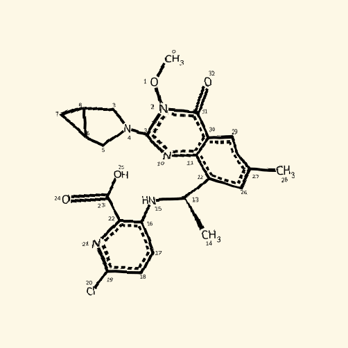 COn1c(N2CC3CC3C2)nc2c([C@@H](C)Nc3ccc(Cl)nc3C(=O)O)cc(C)cc2c1=O